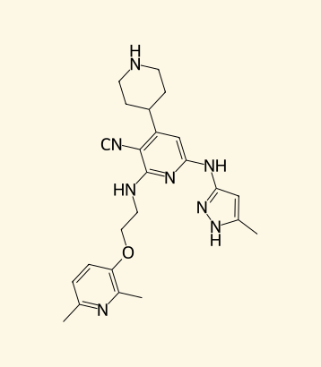 [C-]#[N+]c1c(C2CCNCC2)cc(Nc2cc(C)[nH]n2)nc1NCCOc1ccc(C)nc1C